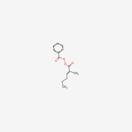 CCCC=C(C)C(=O)OOC(=O)c1ccccc1